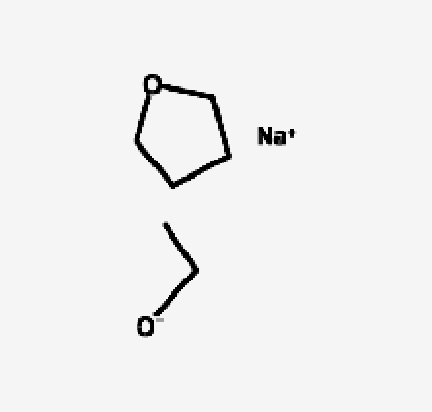 C1CCOC1.CC[O-].[Na+]